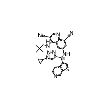 CC(C)(C)CNc1c(C#N)cnc2c(C#N)cc(N[C@H](c3cn(C4CC4)nn3)c3csc4cnccc34)cc12